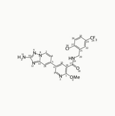 COc1ncc(-c2ccn3nc(N)nc3c2)cc1C(=O)NCc1cc(C(F)(F)F)ccc1Cl